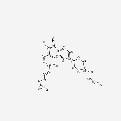 CCC/C=C/c1ccc(/C(F)=C(/F)c2ccc(C3CCC(CCC)CC3)cc2)cc1